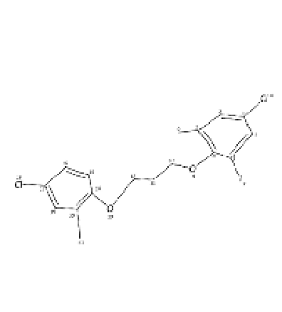 Cc1cc(Cl)cc(I)c1OCCCOc1ccc(Cl)cc1I